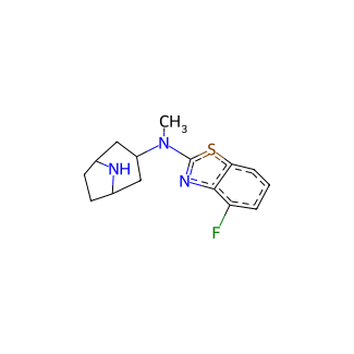 CN(c1nc2c(F)cccc2s1)C1CC2CCC(C1)N2